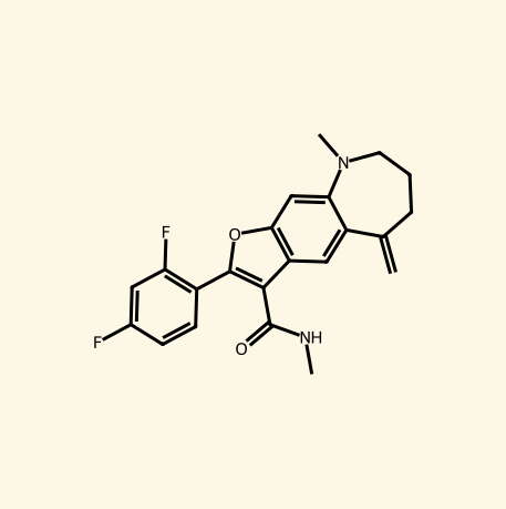 C=C1CCCN(C)c2cc3oc(-c4ccc(F)cc4F)c(C(=O)NC)c3cc21